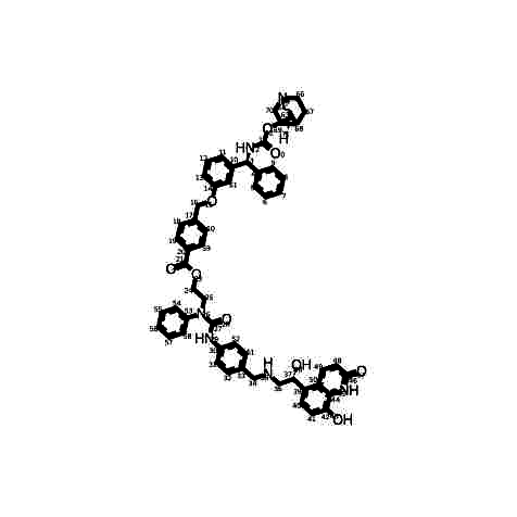 O=C(N[C@@H](c1ccccc1)c1cccc(OCc2ccc(C(=O)OCCN(C(=O)Nc3ccc(CNC[C@H](O)c4ccc(O)c5[nH]c(=O)ccc45)cc3)c3ccccc3)cc2)c1)O[C@H]1CN2CCC1CC2